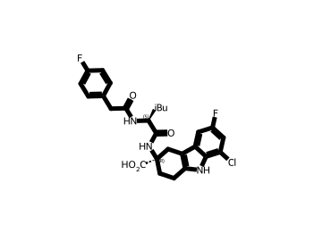 CCC(C)[C@H](NC(=O)Cc1ccc(F)cc1)C(=O)N[C@]1(C(=O)O)CCc2[nH]c3c(Cl)cc(F)cc3c2C1